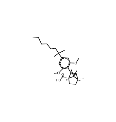 CCCCCCC(C)(C)c1cc(OC)c(C2=C[C@@]3(C)CC[C@]2(C(=O)O)C3(C)C)c(OC)c1